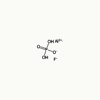 O=P([O-])(O)O.[Al+2].[F-]